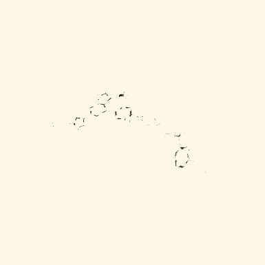 COc1cccc(C(=O)NC[C@@H]2[C@H]3CN(c4ccc(-c5cc(-c6cnn(C)c6)cn6ncc(C#N)c56)cn4)C[C@@H]23)n1